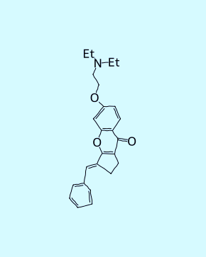 CCN(CC)CCOc1ccc2c(=O)c3c(oc2c1)C(=Cc1ccccc1)CC3